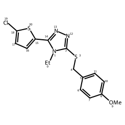 CCn1c(SCc2ccc(OC)cc2)nnc1-c1ccc(Cl)s1